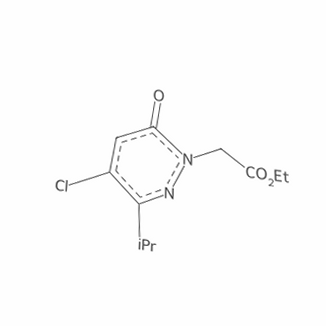 CCOC(=O)Cn1nc(C(C)C)c(Cl)cc1=O